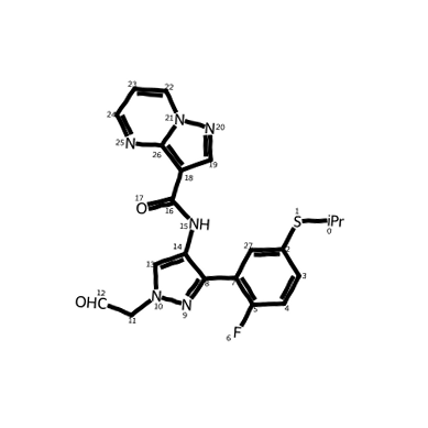 CC(C)Sc1ccc(F)c(-c2nn(CC=O)cc2NC(=O)c2cnn3cccnc23)c1